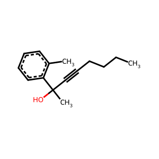 CCCCC#CC(C)(O)c1ccccc1C